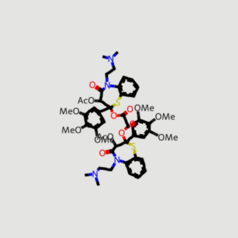 COc1cc(C2(OC(=O)C(=O)OC3(c4cc(OC)c(OC)c(OC)c4)Sc4ccccc4N(CCN(C)C)C(=O)C3OC(C)=O)Sc3ccccc3N(CCN(C)C)C(=O)C2OC(C)=O)cc(OC)c1OC